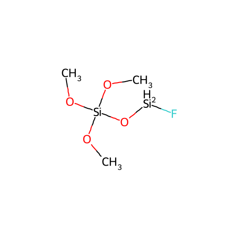 CO[Si](OC)(OC)O[SiH2]F